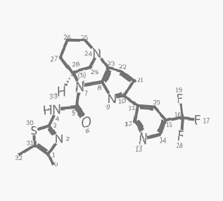 Cc1nc(NC(=O)N2c3nc(-c4cncc(C(F)(F)F)c4)ccc3N3CCC[C@H]2C3)sc1C